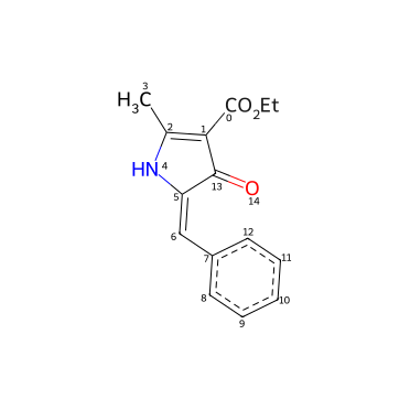 CCOC(=O)C1=C(C)N/C(=C/c2ccccc2)C1=O